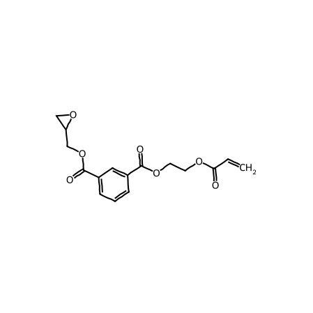 C=CC(=O)OCCOC(=O)c1cccc(C(=O)OCC2CO2)c1